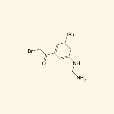 CC(C)(C)c1cc(NCN)cc(C(=O)CBr)c1